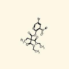 CCOC(=O)C(CC)(C(=O)OCC)C(=O)Oc1ncc(Br)cc1[N+](=O)[O-]